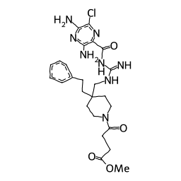 COC(=O)CCC(=O)N1CCC(CCc2ccccc2)(CNC(=N)NC(=O)c2nc(Cl)c(N)nc2N)CC1